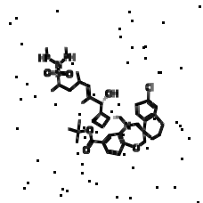 CPN(PC)S(=O)(=O)C(C)CC(C)/C=C(\C)[C@H](O)[C@@H]1CC[C@H]1CN1C[C@@]2(CCCc3cc(Cl)ccc32)COc2ccc(C(=O)OC(C)(C)C)cc21